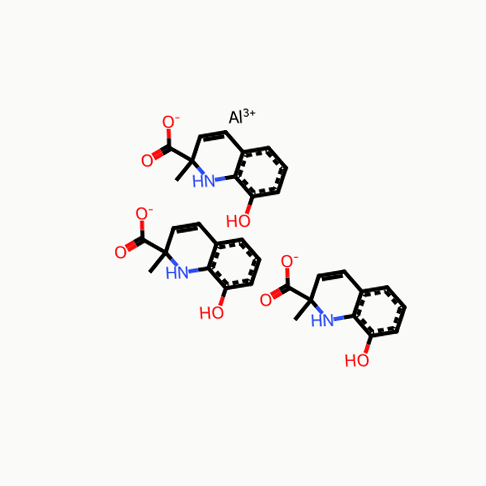 CC1(C(=O)[O-])C=Cc2cccc(O)c2N1.CC1(C(=O)[O-])C=Cc2cccc(O)c2N1.CC1(C(=O)[O-])C=Cc2cccc(O)c2N1.[Al+3]